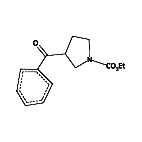 CCOC(=O)N1CCC(C(=O)c2ccccc2)C1